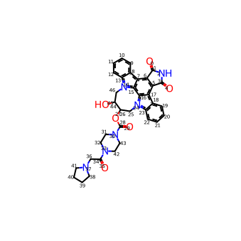 O=C1NC(=O)c2c1c1c3ccccc3n3c1c1c2c2ccccc2n1CC(OC(=O)N1CCN(C(=O)CN2CCCC2)CC1)C(O)C3